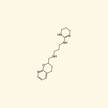 c1cnc2c(c1)CCC(CNCCCNC1=NCCCN1)O2